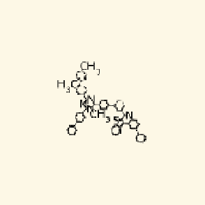 CC1C=CC(C2(C)C=CC(C3=NC(c4ccc(-c5ccccc5)cc4)N(C)C(c4ccc(C5=CC(c6nc7ccc(-c8ccccc8)cc7c7c6sc6ccccc67)=CCC5)cc4)=N3)=CC2)=CC1